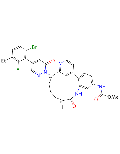 CCc1ccc(Br)c(-c2cnn([C@H]3CCC[C@@H](C)C(=O)Nc4cc(NC(=O)OC)ccc4-c4ccnc3c4)c(=O)c2)c1F